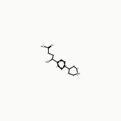 O=C(O)CCC(O)c1ccc(C2CCNCC2)cc1